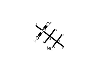 CC(C)(C#N)C(C)(C)S(C)(=O)=O